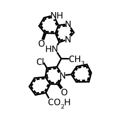 CC(Nc1ncnc2[nH]ccc(=O)c12)c1c(Cl)c2cccc(C(=O)O)c2c(=O)n1-c1ccccc1